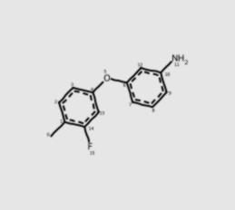 Cc1ccc(Oc2cccc(N)c2)cc1F